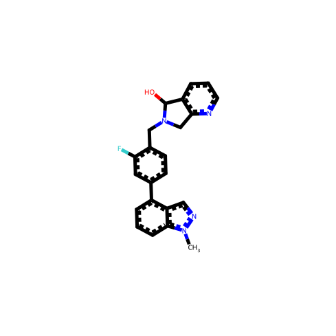 Cn1ncc2c(-c3ccc(CN4Cc5ncccc5C4O)c(F)c3)cccc21